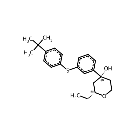 CC[C@@H]1C[C@@](O)(c2cccc(Sc3ccc(C(C)(C)C)cc3)c2)CCO1